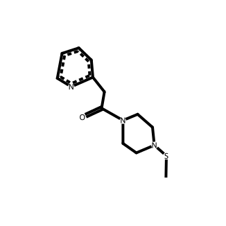 CSN1CCN(C(=O)Cc2ccccn2)CC1